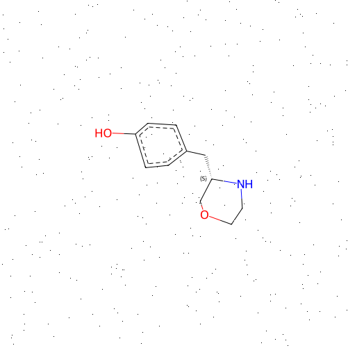 Oc1ccc(C[C@H]2COCCN2)cc1